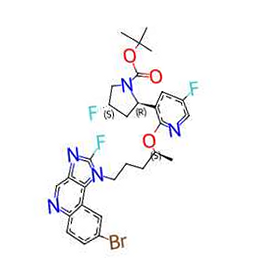 C[C@@H](CCCn1c(F)nc2cnc3ccc(Br)cc3c21)Oc1ncc(F)cc1[C@H]1C[C@H](F)CN1C(=O)OC(C)(C)C